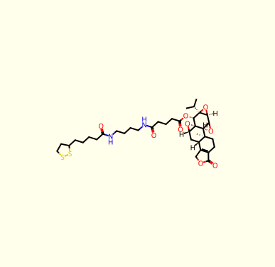 CC(C)[C@]12O[C@H]1[C@@H]1O[C@]13[C@]1(O[C@H]1C[C@H]1C4=C(CC[C@@]13C)C(=O)OC4)[C@@H]2OC(=O)CCCC(=O)NCCCCNC(=O)CCCCC1CCSS1